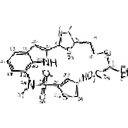 CCC(SCCC1CN=C(c2cc3cccc(N(C)S(=O)(=O)c4cccs4)c3[nH]2)S1)C(=O)O